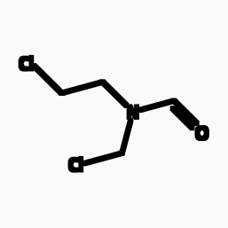 O=CN(CCl)CCCl